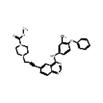 COC(=O)N1CCN(CC#Cc2ccc3ncnc(Nc4ccc(Oc5ccccc5)c(C)c4)c3c2)CC1